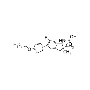 CCCOc1ccc(-c2cc3c(cc2F)C(NC(=O)O)C(C)(C)C3)cc1